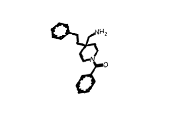 NCC1(CCc2ccccc2)CCN(C(=O)c2ccccc2)CC1